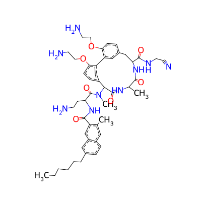 CCCCCCc1ccc2cc(C)c(C(=O)NC(CCN)C(=O)N(C)C3C(=O)NC(C)C(=O)NC(C(=O)NCC#N)Cc4ccc(OCCN)c(c4)-c4cc3ccc4OCCN)cc2c1